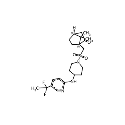 CC(F)(F)c1ccc(NC2CCN(S(=O)(=O)C[C@]34CC[C@H](CC3=O)C4(C)C)CC2)nc1